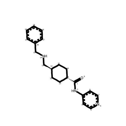 O=C(Nc1ccncc1)[C@H]1CC[C@H](CNCc2ccccc2)CC1